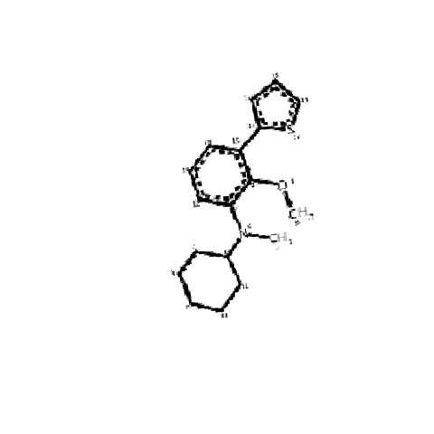 COc1c(N(C)C2CCCCC2)[c]ccc1-c1cccs1